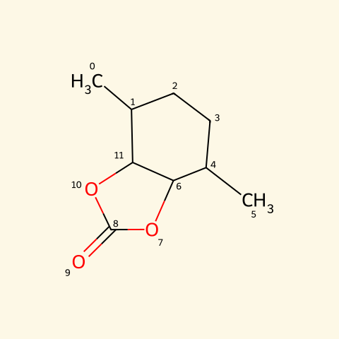 CC1CCC(C)C2OC(=O)OC12